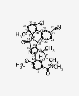 COc1ccc(C(=O)N(C)C)cc1-c1nc2c(n1C(C)C)C1c3ccc(C#N)cc3-c3c(Cl)ccc(C)c3N1C2=O